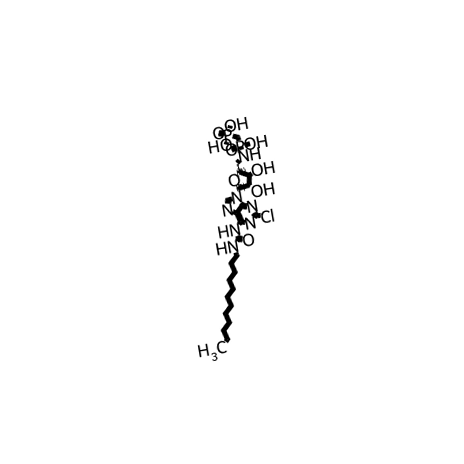 CCCCCCCCCCCCNC(=O)Nc1nc(Cl)nc2c1ncn2[C@@H]1O[C@H](CNP(=O)(O)CP(=O)(O)O)C(O)C1O